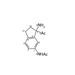 CC(=O)Nc1ccc2c(c1)C(N)(C(C)=O)CC2